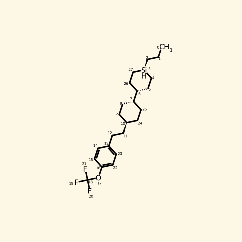 CCC[Si@H]1CC[C@H]([C@H]2CC[C@H](CCc3ccc(OC(F)(F)F)cc3)CC2)CC1